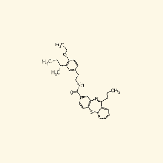 CCCC1=Nc2cc(C(=O)NCCc3ccc(OCC)c([C@H](C)CC)c3)ccc2Sc2ccccc21